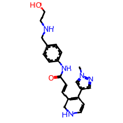 Cn1cc(C2=C(/C=C/C(=O)Nc3ccc(CNCCO)cc3)CNC=C2)cn1